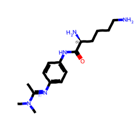 C/C(=N\c1ccc(NC(=O)[C@@H](N)CCCCN)cc1)N(C)C